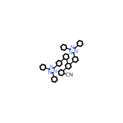 N#Cc1ccccc1-c1ccc(-c2cccc(-c3nc(-c4ccccc4)nc(-c4ccccc4)n3)c2)c(-c2ccccc2-c2ccc(-c3nc(-c4ccccc4)nc(-c4ccccc4)n3)cc2)c1